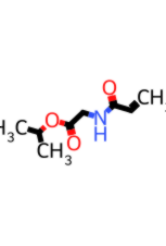 C=CC(=O)NCC(=O)OC(C)C